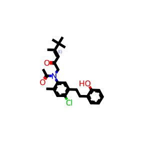 CC(=O)N(CC(=O)/C=C(\C)C(C)(C)C)c1cc(CCc2ccccc2O)c(Cl)cc1C